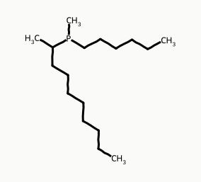 CCCCCCCCC(C)P(C)CCCCCC